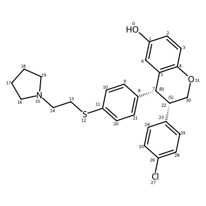 Oc1ccc2c(c1)[C@@H](c1ccc(SCCN3CCCC3)cc1)[C@@H](c1ccc(Cl)cc1)CO2